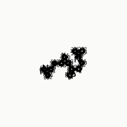 C1=CC2Sc3c(-c4cccc(-c5cccc(-c6cc7c8ccccc8c8ccccc8c7cn6)c5)c4)cc(-c4ccc5c6ccccc6c6cc(-c7cccc(-c8ccc9c%10ccccc%10c%10nccnc%10c9c8)c7)ccc6c5c4)cc3C2C=C1